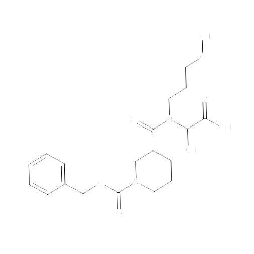 COCCCN(C(=O)[C@@H]1CCCN(C(=O)OCc2ccccc2)C1)C(C)C(=O)O